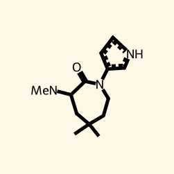 CNC1CC(C)(C)CCN(c2cc[nH]c2)C1=O